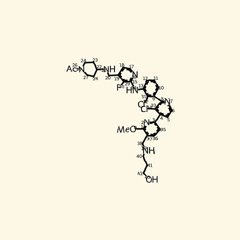 COc1nc(-c2ccnc(-c3cccc(Nc4nccc(CNC5CCN(C(C)=O)CC5)c4F)c3Cl)c2Cl)ccc1CNCCCO